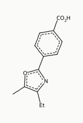 CCc1nc(-c2ccc(C(=O)O)cc2)oc1C